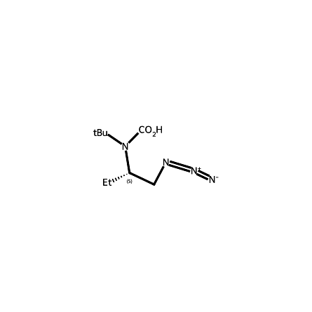 CC[C@@H](CN=[N+]=[N-])N(C(=O)O)C(C)(C)C